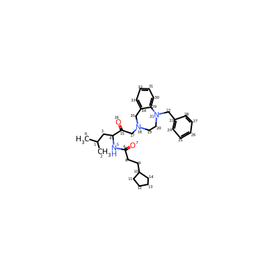 CC(C)CC(NC(=O)CCC1CCCC1)C(=O)CN1CCN(Cc2ccccc2)c2ccccc2C1